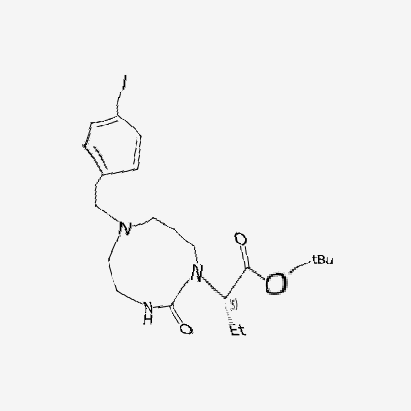 CC[C@@H](C(=O)OC(C)(C)C)N1CCCN(Cc2ccc(I)cc2)CCNC1=O